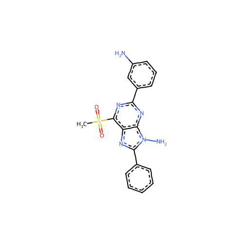 CS(=O)(=O)c1nc(-c2cccc(N)c2)nc2c1nc(-c1ccccc1)n2N